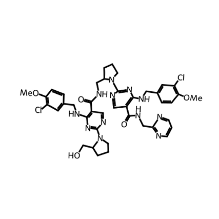 COc1ccc(CNc2nc(N3CCCC3CO)ncc2C(=O)NCC2CCCN2c2ncc(C(=O)NCc3ncccn3)c(NCc3ccc(OC)c(Cl)c3)n2)cc1Cl